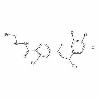 CC(C)CNNC(=O)c1ccc(C(F)=CC(c2cc(Cl)c(Cl)c(Cl)c2)C(F)(F)F)cc1C(F)(F)F